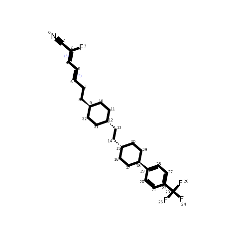 N#C/C(F)=C/C=C/CC[C@H]1CC[C@H](CC[C@H]2CC[C@H](c3ccc(C(F)(F)F)cc3)CC2)CC1